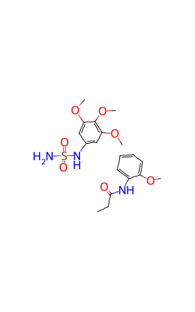 CCC(=O)Nc1ccccc1OC.COc1cc(NS(N)(=O)=O)cc(OC)c1OC